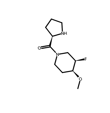 CO[C@H]1CCN(C(=O)[C@H]2CCCN2)C[C@H]1F